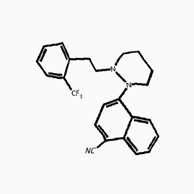 N#Cc1ccc(N2CCCCN2CCc2ccccc2C(F)(F)F)c2ccccc12